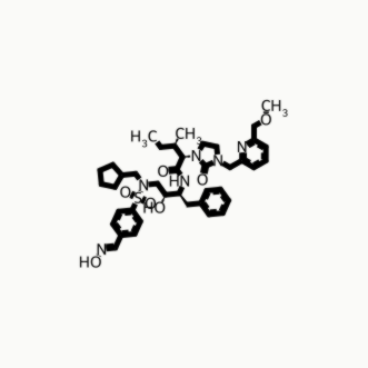 CC[C@H](C)[C@@H](C(=O)N[C@@H](Cc1ccccc1)[C@H](O)CN(CC1CCCC1)S(=O)(=O)c1ccc(/C=N/O)cc1)N1CCN(Cc2cccc(COC)n2)C1=O